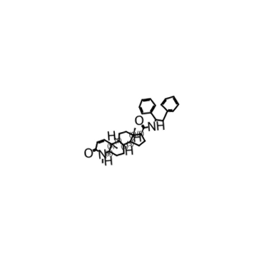 CN1C(=O)C=C[C@]2(C)[C@H]3CC[C@]4(C)[C@@H](C(=O)NC(Cc5ccccc5)c5ccccc5)CC[C@H]4[C@@H]3CC[C@@H]12